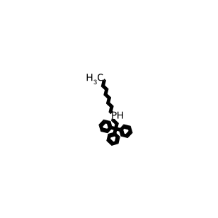 CCCCCCCCCPCCC(c1ccccc1)(c1ccccc1)c1ccccc1